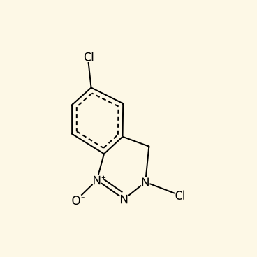 [O-][N+]1=NN(Cl)Cc2cc(Cl)ccc21